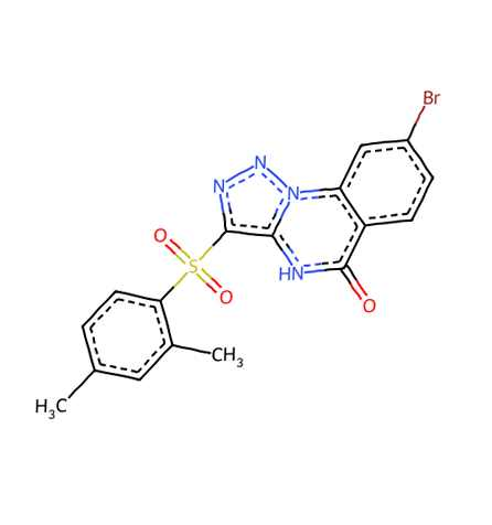 Cc1ccc(S(=O)(=O)c2nnn3c2[nH]c(=O)c2ccc(Br)cc23)c(C)c1